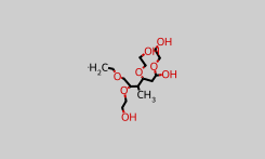 [CH2]COCC(OCCO)C(C)C(CC(O)OCCO)OCCO